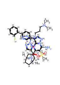 CC/N=C(/NCCCN(C)C)n1ncc(C(=O)N2[C@@H]3CC[C@H]2CC(c2nc4c(-c5ccc(-c6ccccc6F)nc5)cnn4c(N)c2S(C)(=O)=O)C3)n1